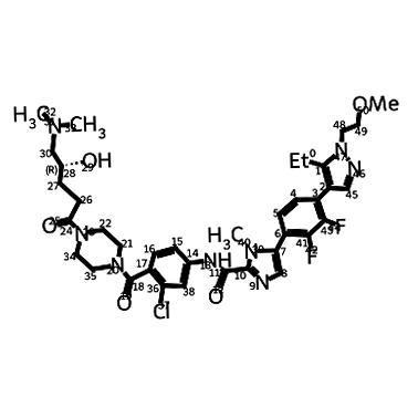 CCc1c(-c2ccc(-c3cnc(C(=O)Nc4ccc(C(=O)N5CCN(C(=O)CC[C@@H](O)CN(C)C)CC5)c(Cl)c4)n3C)c(F)c2F)cnn1CCOC